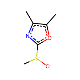 Cc1nc([S+](C)[O-])oc1C